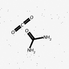 NC(N)=O.O=C=O